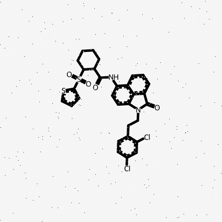 O=C(Nc1ccc2c3c(cccc13)C(=O)N2CCc1ccc(Cl)cc1Cl)C1CCCCC1S(=O)(=O)c1cccs1